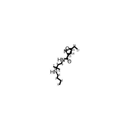 CCCCNC(C)(C)CCNC(=O)c1cc(CC)on1